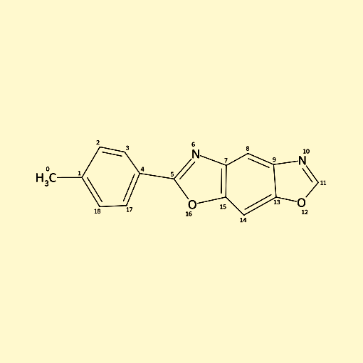 Cc1ccc(-c2nc3cc4ncoc4cc3o2)cc1